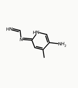 Cc1c/c(=N/C=N)[nH]cc1N